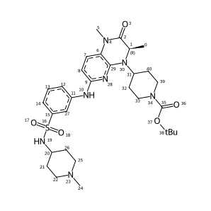 C[C@@H]1C(=O)N(C)c2ccc(Nc3cccc(S(=O)(=O)NC4CCN(C)CC4)c3)nc2N1C1CCN(C(=O)OC(C)(C)C)CC1